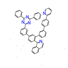 c1ccc(-c2nc(-c3ccccc3)nc(-c3cccc(-c4ccc(-c5nccc6ccccc56)c(-c5cccc(-c6ccc(-c7ccccn7)cc6)c5)c4)c3)n2)cc1